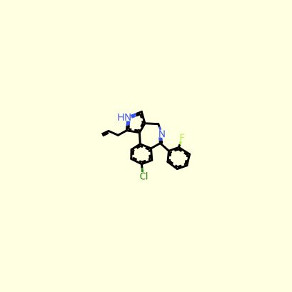 C=CCc1[nH]cc2c1-c1ccc(Cl)cc1C(c1ccccc1F)=NC2